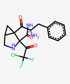 NC(=O)C1(C(=O)C(F)(F)Cl)NCC2CC21C(=O)[C@@H](N)Cc1ccccc1